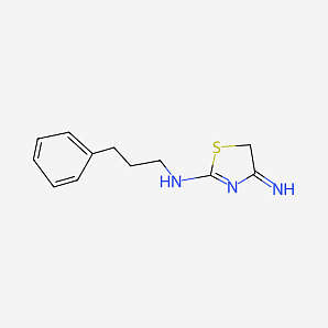 N=C1CSC(NCCCc2ccccc2)=N1